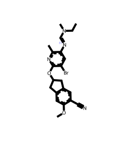 CCN(C)/C=N/c1cc(Br)c(OC2Cc3cc(C#N)c(OC)cc3C2)nc1C